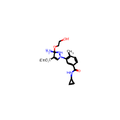 CCOC(=O)C1=CN(c2cc(C(=O)NC3CC3)ccc2C)NC1(N)OCCO